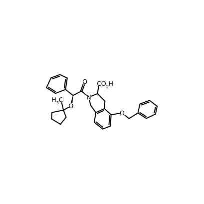 CC1(O[C@H](C(=O)N2Cc3cccc(OCc4ccccc4)c3CC2C(=O)O)c2ccccc2)CCCC1